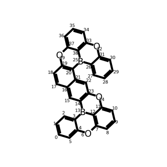 c1ccc2c(c1)Oc1cccc3c1B2c1cc2ccc4c(c2cc1O3)B1c2ccccc2Oc2cccc(c21)O4